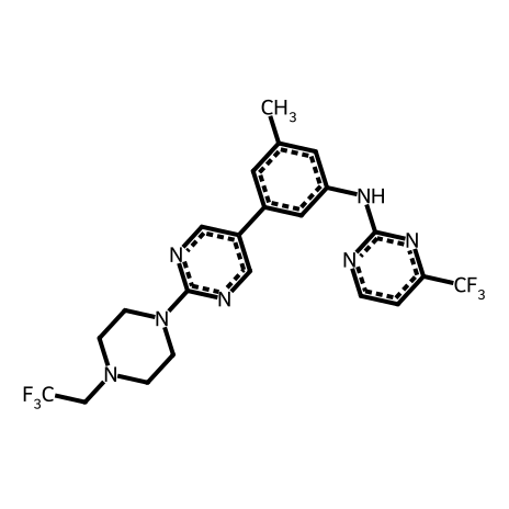 Cc1cc(Nc2nccc(C(F)(F)F)n2)cc(-c2cnc(N3CCN(CC(F)(F)F)CC3)nc2)c1